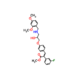 COC(=O)C(=Cc1ccc(OCC(O)CNCc2ccc(OC)cc2OC)cc1)c1cccc(F)c1